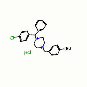 CC(C)(C)c1ccc(CN2CCN(C(c3ccccc3)c3ccc(Cl)cc3)CC2)cc1.Cl